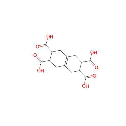 O=C(O)C1CC2=C(CC1C(=O)O)CC(C(=O)O)C(C(=O)O)C2